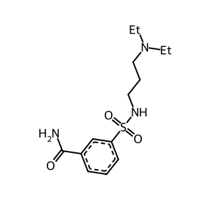 CCN(CC)CCCNS(=O)(=O)c1cccc(C(N)=O)c1